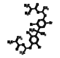 C=C(C)C(=O)OC(C)Oc1cc(Br)c(C(C)(C)c2cc(Br)c(OC(C)OC(=O)C(=C)C)cc2Br)cc1Br